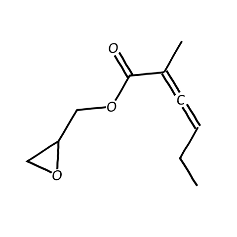 CCC=C=C(C)C(=O)OCC1CO1